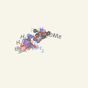 COc1ccc(COC(=O)[C@@H](Cc2ccccc2OCc2ccnc(-c3ccccc3OC)n2)Oc2ncnc3sc(-c4ccc(F)cc4)c(-c4ccc(OCCN5CC[N+](C)(Cc6ccc(NC(=O)[C@H](CCCNC(N)=O)NC(=O)[C@@H](NC(=O)OC(C)(C)C)C(C)C)cc6CN(C)C(=O)CN(CC(=O)OC(C)(C)C)CC(=O)OC(C)(C)C)CC5)c(Cl)c4C)c23)cc1